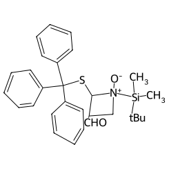 CC(C)(C)[Si](C)(C)[N+]1([O-])CC(C=O)C1SC(c1ccccc1)(c1ccccc1)c1ccccc1